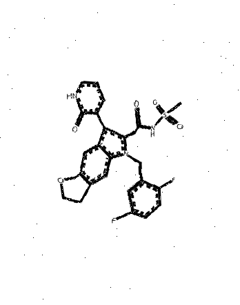 CS(=O)(=O)NC(=O)c1c(-c2ccc[nH]c2=O)c2cc3c(cc2n1Cc1cc(F)ccc1F)CCO3